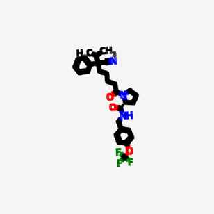 CC(C)C(C#N)(CCCCC(=O)N1CCC[C@@H]1C(=O)NCc1ccc(OC(F)(F)F)cc1)c1ccccc1